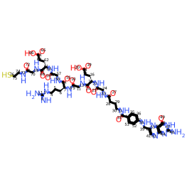 N=C(N)NCCC[C@H](NC(=O)CNC(=O)[C@H](CCC(=O)O)NC(=O)CNC(=O)CCCNC(=O)c1ccc(NCc2cnc3nc(N)[nH]c(=O)c3n2)cc1)C(=O)NCC(=O)N[C@@H](CCC(=O)O)C(=O)NCC(=O)NCCS